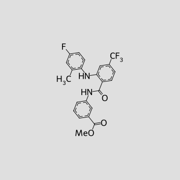 COC(=O)c1cccc(NC(=O)c2ccc(C(F)(F)F)cc2Nc2ccc(F)cc2C)c1